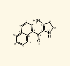 NS1=C(C(=O)c2cccc3ccccc23)NCC1